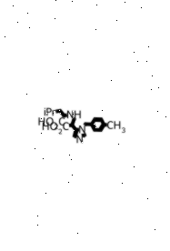 Cc1ccc(Cn2cncc2C(CNC(CC(C)C)C(=O)O)C(=O)O)cc1